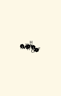 Fc1ccc(Cl)c(-c2ccc(N[C@H]3C[C@@H]4CN(Cc5ccccn5)C[C@@H]4C3)nn2)c1